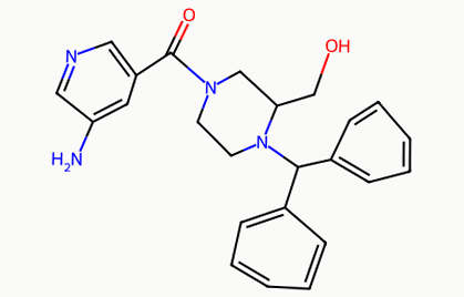 Nc1cncc(C(=O)N2CCN(C(c3ccccc3)c3ccccc3)C(CO)C2)c1